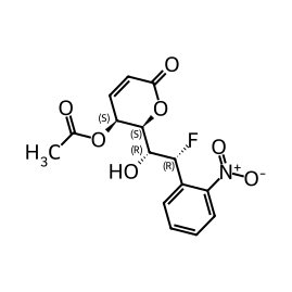 CC(=O)O[C@H]1C=CC(=O)O[C@H]1[C@@H](O)[C@H](F)c1ccccc1[N+](=O)[O-]